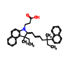 CCC(C)(C/C=C/C=C1/N(CCC(=O)O)c2ccc3ccccc3c2C1(C)CC)c1cccc2ccccc12